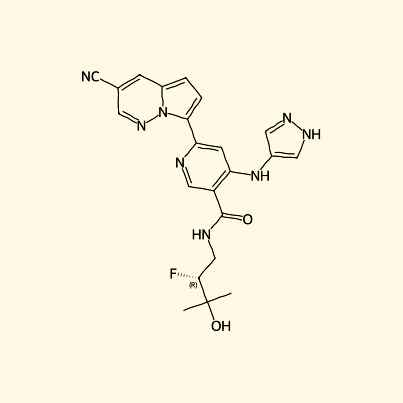 CC(C)(O)[C@H](F)CNC(=O)c1cnc(-c2ccc3cc(C#N)cnn23)cc1Nc1cn[nH]c1